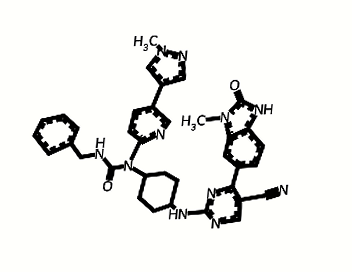 Cn1cc(-c2ccc(N(C(=O)NCc3ccccc3)C3CCC(Nc4ncc(C#N)c(-c5ccc6[nH]c(=O)n(C)c6c5)n4)CC3)nc2)cn1